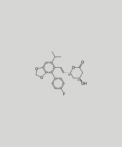 CC(C)c1cc2c(c(-c3ccc(F)cc3)c1C=C[C@H]1C[C@H](O)CC(=O)O1)OCO2